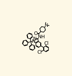 CN(C)C1CCC(C(=O)Nc2nn(C(c3ccccc3)(c3ccccc3)c3ccccc3)c3ccc(-c4c(Cl)cccc4Cl)cc23)CC1